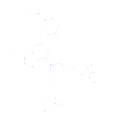 CC(C)(C)OC(=O)N1CCCC(c2cc(N(COCC[Si](C)(C)C)COCC[Si](C)(C)C)n3ncc(Br)c3n2)C1